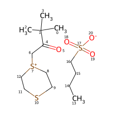 CC(C)(C)C(=O)C[S+]1CCSCC1.CCCCS(=O)(=O)[O-]